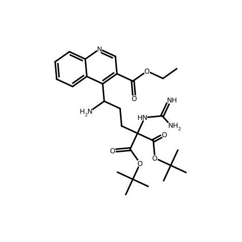 CCOC(=O)c1cnc2ccccc2c1C(N)CCC(NC(=N)N)(C(=O)OC(C)(C)C)C(=O)OC(C)(C)C